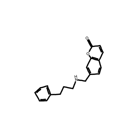 O=c1ccc2ccc(CNCCCc3ccccc3)cc2o1